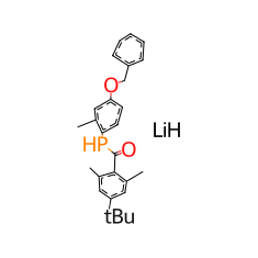 Cc1cc(OCc2ccccc2)ccc1PC(=O)c1c(C)cc(C(C)(C)C)cc1C.[LiH]